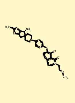 COCCn1cnc2ccc(Sc3cnc(N4CCC5(CC4)Cc4nc(C)sc4[C@H]5N)cn3)c(Cl)c2c1=O